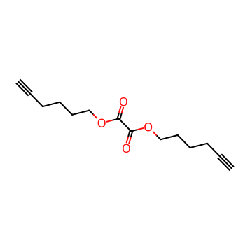 C#CCCCCOC(=O)C(=O)OCCCCC#C